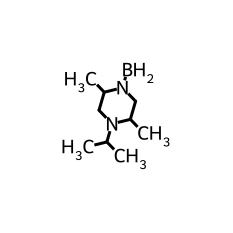 BN1CC(C)N(C(C)C)CC1C